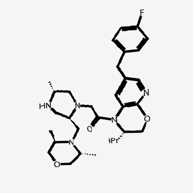 CC(C)[C@H]1COc2ncc(Cc3ccc(F)cc3)cc2N1C(=O)CN1C[C@@H](C)NC[C@@H]1CN1[C@H](C)COC[C@H]1C